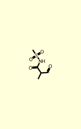 CC([C]=O)C(=O)NS(C)(=O)=O